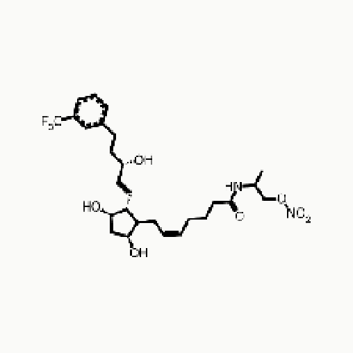 CC(CO[N+](=O)[O-])NC(=O)CCC/C=C\C[C@@H]1[C@@H](/C=C/[C@@H](O)CCc2cccc(C(F)(F)F)c2)[C@H](O)C[C@@H]1O